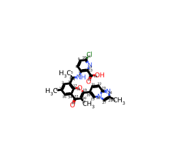 Cc1cc([C@@H](C)Nc2ccc(Cl)nc2C(=O)O)c2oc(-c3ccc4nc(C)cn4c3)c(C)c(=O)c2c1